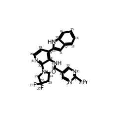 CC(C)c1ncc(C(=O)Nc2c(-c3cc4ccccc4[nH]3)ccnc2N2CCC(F)(F)C2)cn1